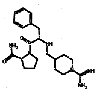 N=C(N)N1CCC(CN[C@@H](Cc2ccccc2)C(=O)N2CCC[C@H]2C(N)=O)CC1